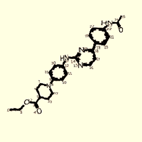 CCOC(=O)C1CCN(c2ccc(Nc3nccc(-c4ccc(NC(C)=O)cc4)n3)cc2)CC1